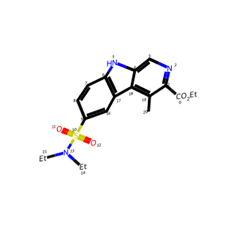 CCOC(=O)c1ncc2[nH]c3ccc(S(=O)(=O)N(CC)CC)cc3c2c1C